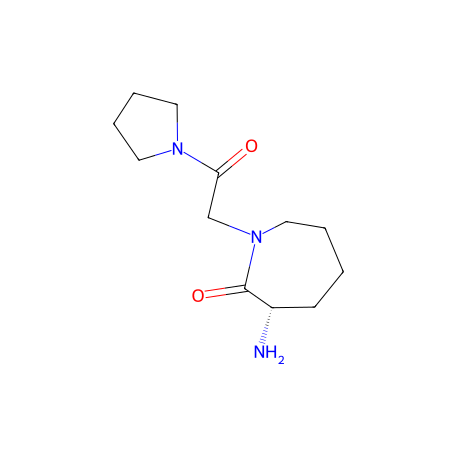 N[C@H]1CCCCN(CC(=O)N2CCCC2)C1=O